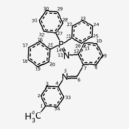 Cc1ccc(N=Cc2ccccc2N=P(c2ccccc2)(c2ccccc2)c2ccccc2)cc1